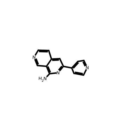 Nc1nc(-c2ccncc2)cc2ccncc12